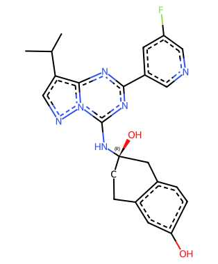 CC(C)c1cnn2c(N[C@@]3(O)CCc4cc(O)ccc4C3)nc(-c3cncc(F)c3)nc12